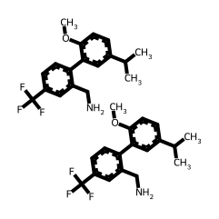 COc1ccc(C(C)C)cc1-c1ccc(C(F)(F)F)cc1CN.COc1ccc(C(C)C)cc1-c1ccc(C(F)(F)F)cc1CN